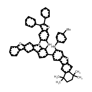 CC(C)(C)c1ccc(Nc2cc3sc4cc5c(cc4c3cc2-c2ccc3c4cc6c(cc4n4c3c2Bc2cc3sc(-c7ccccc7)c(-c7ccccc7)c3cc2-4)oc2ccccc26)C(C)(C)CCC5(C)C)cc1